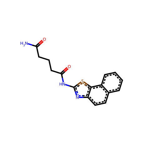 NC(=O)CCCC(=O)Nc1nc2ccc3ccccc3c2s1